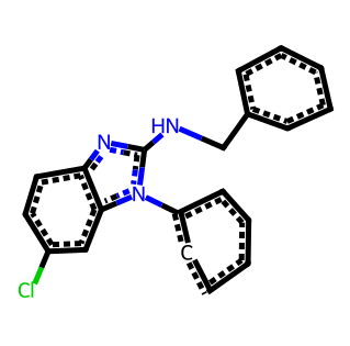 Clc1ccc2nc(NCc3ccccc3)n(-c3ccccc3)c2c1